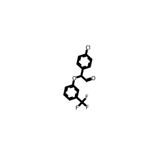 O=[C]C(Oc1cccc(C(F)(F)F)c1)c1ccc(Cl)cc1